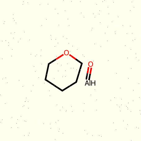 C1CCOCC1.[O]=[AlH]